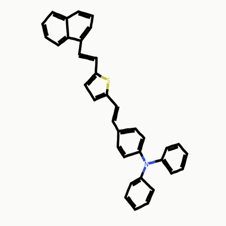 C(=Cc1ccc(C=Cc2cccc3ccccc23)s1)c1ccc(N(c2ccccc2)c2ccccc2)cc1